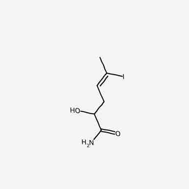 CC(I)=CCC(O)C(N)=O